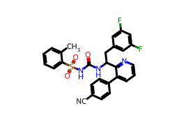 Cc1ccccc1S(=O)(=O)NC(=O)NC(Cc1cc(F)cc(F)c1)c1ncccc1-c1ccc(C#N)cc1